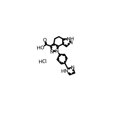 Cl.O=C(O)c1nn(-c2ccc(-c3ncc[nH]3)cc2)c2c1CCc1[nH]ncc1-2